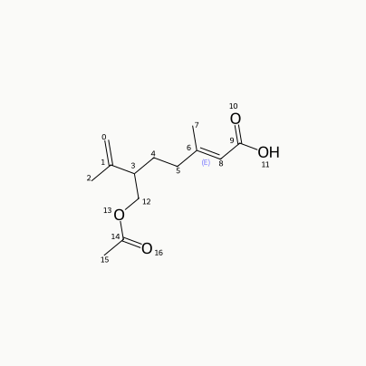 C=C(C)C(CC/C(C)=C/C(=O)O)COC(C)=O